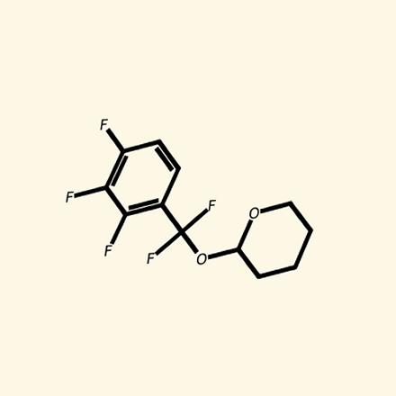 Fc1ccc(C(F)(F)OC2CCCCO2)c(F)c1F